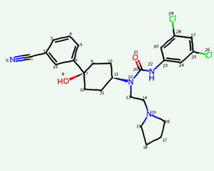 N#Cc1cccc([C@]2(O)CC[C@@H](N(CCN3CCCC3)C(=O)Nc3cc(Cl)cc(Cl)c3)CC2)c1